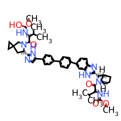 COC(=O)N[C@H](C(=O)N1[C@@H]2CC[C@@H](C2)[C@H]1c1nc2ccc(-c3ccc(-c4ccc(-c5cnc([C@@H]6CC7(CC7)CN6C(=O)[C@@H](NC(O)OC)C(C)C)[nH]5)cc4)cc3)cc2[nH]1)C(C)C